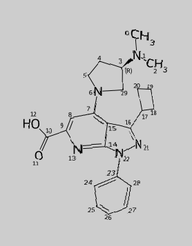 CN(C)[C@@H]1CCN(c2cc(C(=O)O)nc3c2c(C2CCC2)nn3-c2ccccc2)C1